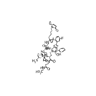 CC(C)(C)[C@H](c1cc(-c2cc(F)ccc2F)cn1Cc1ccccc1)N(CC[C@H](NC(=O)[C@H](CC(N)=O)NC(=O)CNC(=O)CNC(=O)CCCCCN1C(=O)C=CC1=O)C(=O)NCCC(=O)NCC(=O)O)C(=O)CO